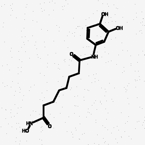 O=C(CCCCCCC(=O)Nc1ccc(O)c(O)c1)NO